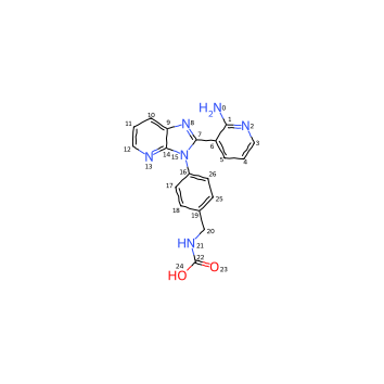 Nc1ncccc1-c1nc2cccnc2n1-c1ccc(CNC(=O)O)cc1